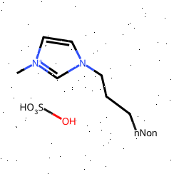 CCCCCCCCCCCCn1cc[n+](C)c1.O=S(=O)(O)O